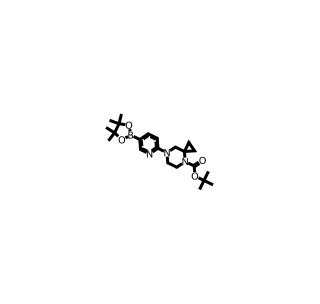 CC(C)(C)OC(=O)N1CCN(c2ccc(B3OC(C)(C)C(C)(C)O3)cn2)CC12CC2